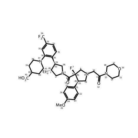 CC[C@H]1CN(C(=O)[C@]2(F)CN(CC(=O)N3CCOCC3)C[C@H]2c2ccc(OC)cc2)C[C@@H]1c1ccc(C(F)(F)F)cc1N1CCC(C(=O)O)CC1